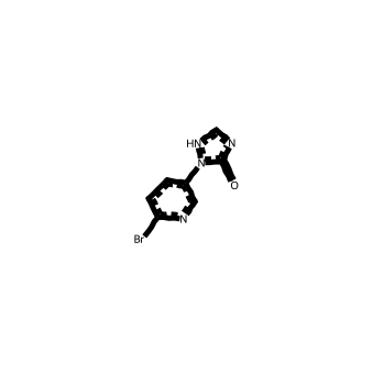 O=c1nc[nH]n1-c1ccc(Br)nc1